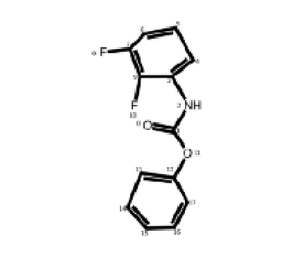 O=C(Nc1cccc(F)c1F)Oc1ccccc1